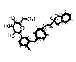 Cc1ccc([C@@H]2O[C@H](CO)[C@@H](O)[C@H](O)[C@H]2O)cc1Cc1ccc(OC[C@@]2(C)Cc3ccccc3O2)cc1